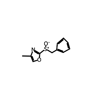 Cc1coc([S+]([O-])Cc2ccccc2)n1